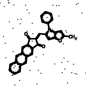 Cc1cc2c(cc(C=C3C(=O)c4cc5cc6ccccc6cc5cc4C3=O)n2-c2ccccc2)o1